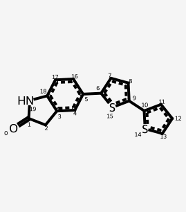 O=C1Cc2cc(-c3ccc(-c4cccs4)s3)ccc2N1